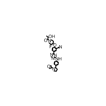 CC(O)C(=O)N1CC[C@H](Oc2ccc(-c3ncnc(Nc4ccc(C5CCCN5C5COC5)cc4)n3)cc2C#N)[C@H](F)C1